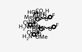 COc1cc(N)c(Cl)cc1C(=O)NC1CCN(CCCOc2ccc(F)cc2)C[C@H]1OC.COc1cc(N)c(Cl)cc1C(=O)NC1CCN(CCCOc2ccc(F)cc2)C[C@H]1OC.O=C(O)C(O)C(O)C(=O)O